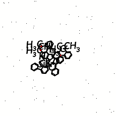 CCc1ccc2c(c1-c1ccccc1C(C)C)C=C(c1ccccc1)[CH]2[Zr]([Cl])([Cl])([c]1cccc2c1[SiH2]c1ccccc1-2)[CH]1C(c2ccccc2)=Cc2c1ccc(CC)c2-c1ccccc1C(C)C